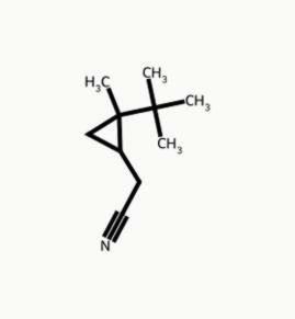 CC(C)(C)C1(C)CC1CC#N